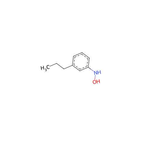 CCCc1cccc(NO)c1